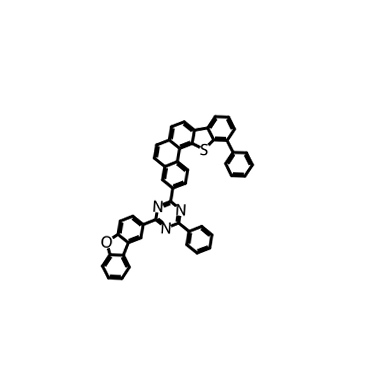 c1ccc(-c2nc(-c3ccc4c(ccc5ccc6c7cccc(-c8ccccc8)c7sc6c54)c3)nc(-c3ccc4oc5ccccc5c4c3)n2)cc1